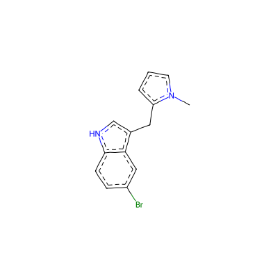 Cn1cccc1Cc1c[nH]c2ccc(Br)cc12